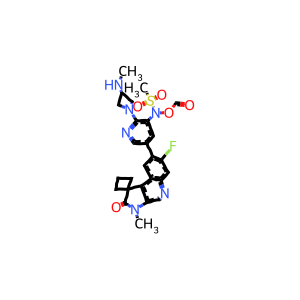 CNC1CN(c2ncc(-c3cc4c5c(cnc4cc3F)N(C)C(=O)C53CCC3)cc2N(OC=O)S(C)(=O)=O)C1